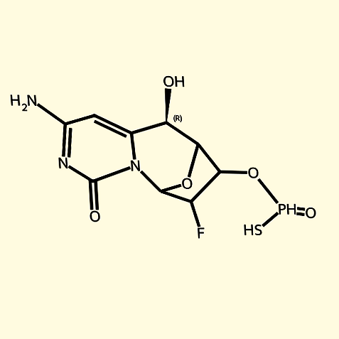 Nc1cc2n(c(=O)n1)C1OC(C(O[PH](=O)S)C1F)[C@@H]2O